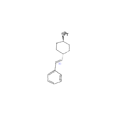 CCC[C@H]1CC[C@H](/C=C/c2ccccc2)CC1